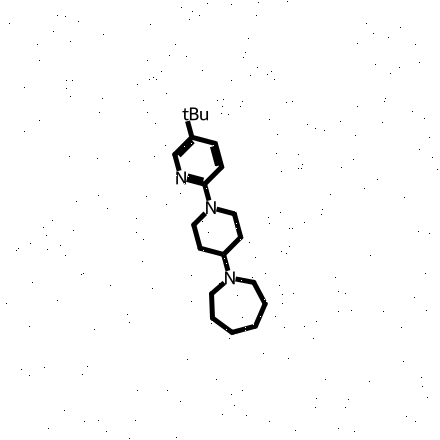 CC(C)(C)c1ccc(N2CCC(N3CCCCCC3)CC2)nc1